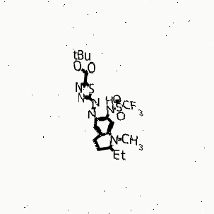 CCC1CCc2cc(N=Nc3nnc(C(=O)OC(C)(C)C)s3)c(NS(=O)(=O)C(F)(F)F)cc2N1C